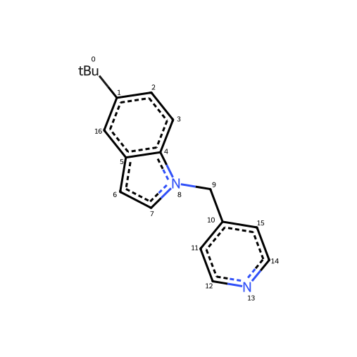 CC(C)(C)c1ccc2c(ccn2Cc2ccncc2)c1